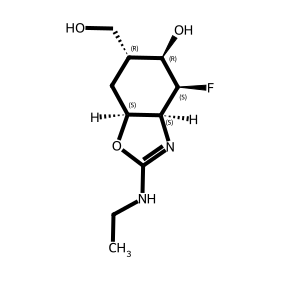 CCNC1=N[C@@H]2[C@H](F)[C@H](O)[C@@H](CO)C[C@@H]2O1